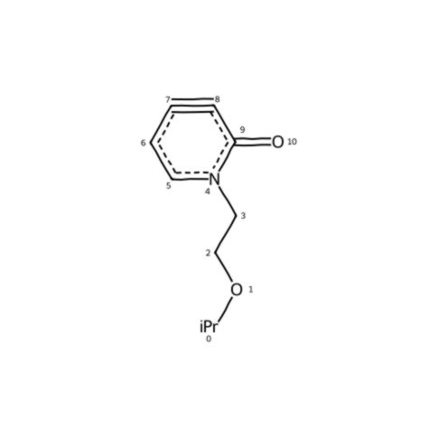 CC(C)OCCn1ccc#cc1=O